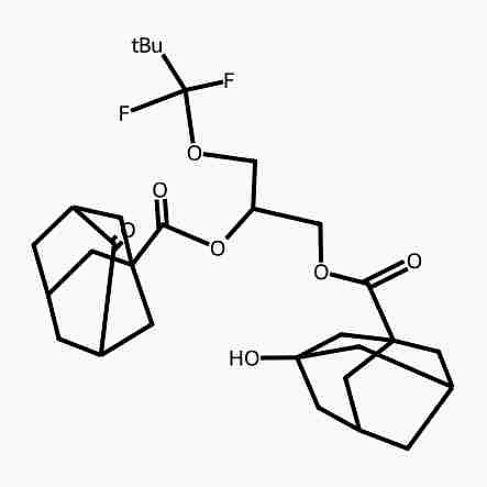 CC(C)(C)C(F)(F)OCC(COC(=O)C12CC3CC(CC(O)(C3)C1)C2)OC(=O)C12CC3CC(C1)C(=O)C(C3)C2